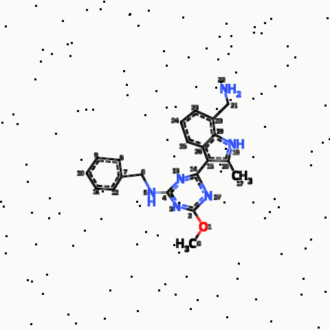 COc1nc(NCc2ccccc2)nc(-c2c(C)[nH]c3c(CN)cccc23)n1